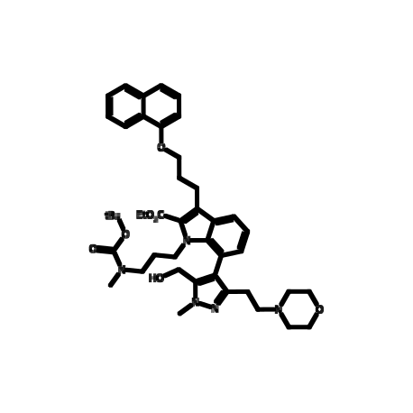 CCOC(=O)c1c(CCCOc2cccc3ccccc23)c2cccc(-c3c(CCN4CCOCC4)nn(C)c3CO)c2n1CCCN(C)C(=O)OC(C)(C)C